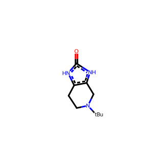 CC(C)(C)N1CCc2[nH]c(=O)[nH]c2C1